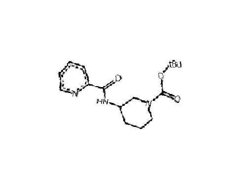 CC(C)(C)OC(=O)N1CCCC(NC(=O)c2ccccn2)C1